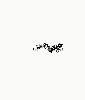 CNC(=O)c1c(-c2ccc(C)cc2)oc2nc(N(CCCC(C)C(=O)NCCCC(=O)O)S(C)(=O)=O)c(C3CC3)cc12